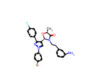 C[C@@H]1O[C@H](c2cn(-c3ccc(Br)cc3)nc2-c2ccc(F)cc2)N(CCc2cccc(N)c2)C1=O